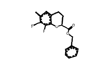 Cc1cc2c(c(F)c1F)OC(C(=O)OCc1ccccc1)CC2